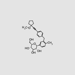 COC1(C#Cc2ccc(Cc3cc([C@@H]4O[C@H](CO)[C@@H](O)[C@H](O)[C@H]4O)ccc3C)cc2)CCCC1